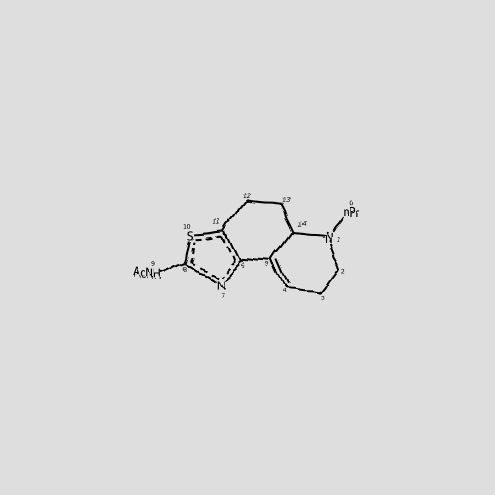 CCCN1CCC=C2c3nc(NC(C)=O)sc3CCC21